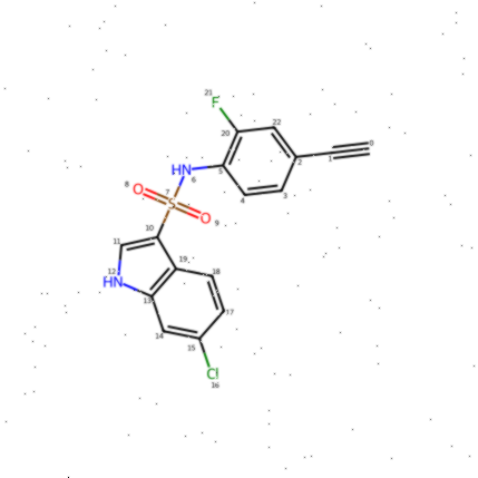 C#Cc1ccc(NS(=O)(=O)c2c[nH]c3cc(Cl)ccc23)c(F)c1